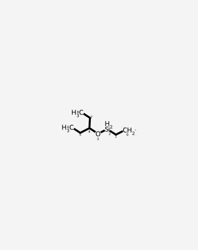 [CH2]C[SiH2]OC(CC)CC